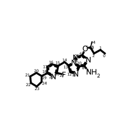 CCC[C@H](C)Oc1nc(N)c2ncc(Cc3ccc(C4CCCCC4)nc3F)n2n1